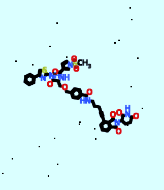 CS(=O)(=O)n1ccc(C(=O)NC(COCc2ccc(C(=O)NCCCC#Cc3cccc4c3C(=O)N(C3CCC(=O)NC3=O)C4=O)cc2)C(=O)Nc2nc(-c3ccccc3)cs2)c1